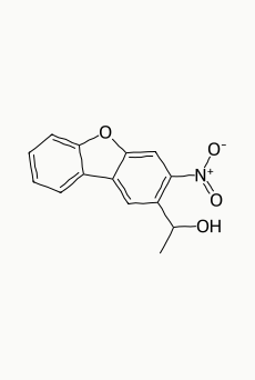 CC(O)c1cc2c(cc1[N+](=O)[O-])oc1ccccc12